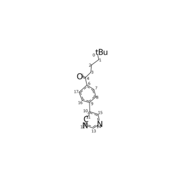 CC(C)(C)CCCC(=O)c1ccc(-c2cncnc2)cc1